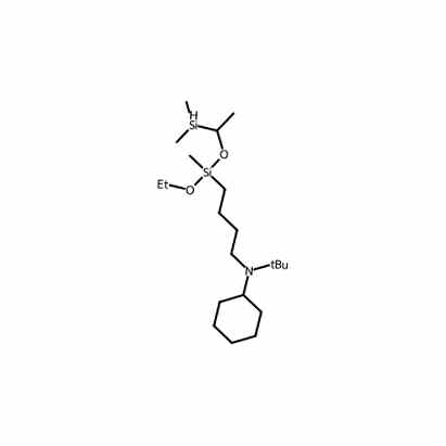 CCO[Si](C)(CCCCN(C1CCCCC1)C(C)(C)C)OC(C)[SiH](C)C